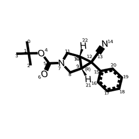 CC(C)(C)OC(=O)N1C[C@@H]2[C@H](C1)C2(C#N)c1ccccc1